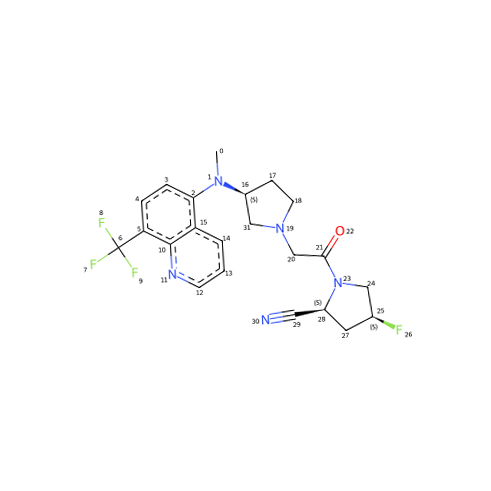 CN(c1ccc(C(F)(F)F)c2ncccc12)[C@H]1CCN(CC(=O)N2C[C@@H](F)C[C@H]2C#N)C1